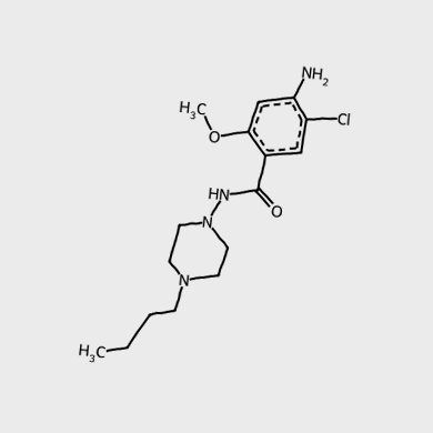 CCCCN1CCN(NC(=O)c2cc(Cl)c(N)cc2OC)CC1